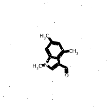 Cc1cc(C)c2c(C=O)cn(C)c2c1